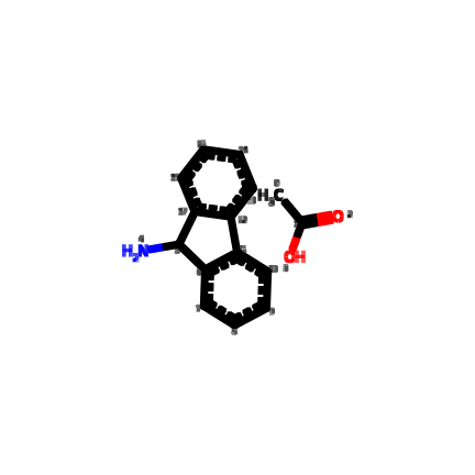 CC(=O)O.NC1c2ccccc2-c2ccccc21